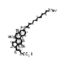 CCCCCCCCCCCCCCCCCCCCN[C@H]1CC[C@]2(C)C3C[C@H](O)[C@@]4(C)C(CC[C@@H]4[C@H](C)CCC(=O)O)C3[C@H](O)C[C@@H]2C1